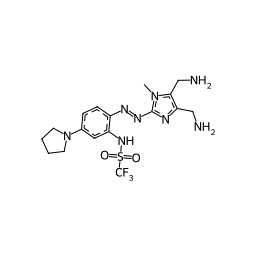 Cn1c(N=Nc2ccc(N3CCCC3)cc2NS(=O)(=O)C(F)(F)F)nc(CN)c1CN